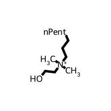 CCCCCCCC[N+](C)(C)CCO